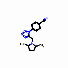 CC1CCC(C)N1Cc1nnnn1-c1ccc(C#N)cc1